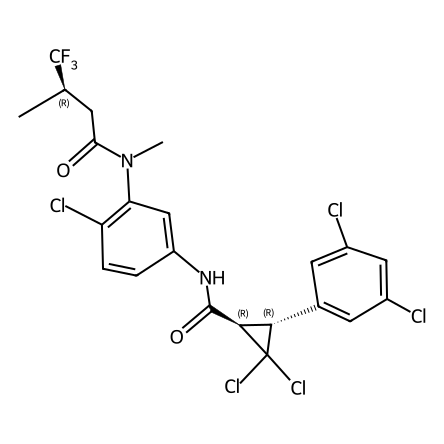 C[C@H](CC(=O)N(C)c1cc(NC(=O)[C@H]2[C@H](c3cc(Cl)cc(Cl)c3)C2(Cl)Cl)ccc1Cl)C(F)(F)F